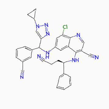 N#CCC[C@@H](Nc1c(C#N)cnc2c(Cl)cc(NC(c3cccc(C#N)c3)c3cn(C4CC4)nn3)cc12)c1ccccc1